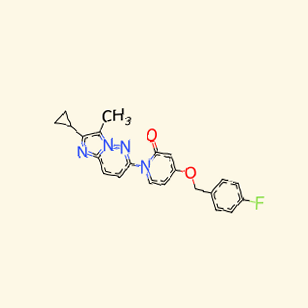 Cc1c(C2CC2)nc2ccc(-n3ccc(OCc4ccc(F)cc4)cc3=O)nn12